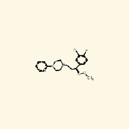 CO/N=C(/CCN1CCN(c2ccccn2)CC1)c1ccc(F)c(Cl)c1